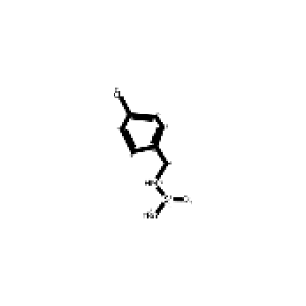 CC(C)(C)[S+]([O-])NCc1ccc(Cl)cc1